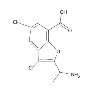 CC(N)c1oc2c(C(=O)O)cc(Cl)cc2c1Cl